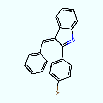 Brc1ccc(C2=Nc3ccccc3/C2=C/c2ccccc2)cc1